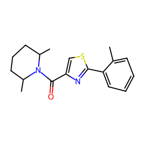 Cc1ccccc1-c1nc(C(=O)N2C(C)CCCC2C)cs1